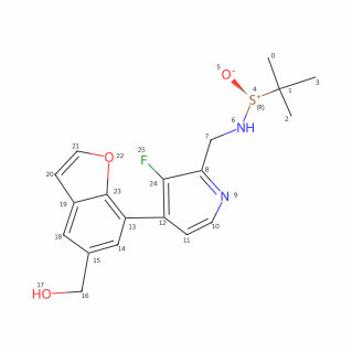 CC(C)(C)[S@+]([O-])NCc1nccc(-c2cc(CO)cc3ccoc23)c1F